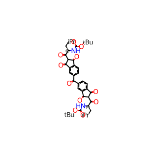 CC(C)C[C@@H](NC(=O)OC(C)(C)C)C(=O)C1C(=O)c2ccc(C(=O)c3ccc4c(c3)C(=O)C(C(=O)[C@@H](CC(C)C)NC(=O)OC(C)(C)C)C4=O)cc2C1=O